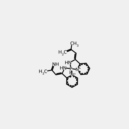 C=C(C)/C=C1\N[PH]2(N/C(=C\C(C)=N)c3cccc[n+]32)[n+]2ccccc21